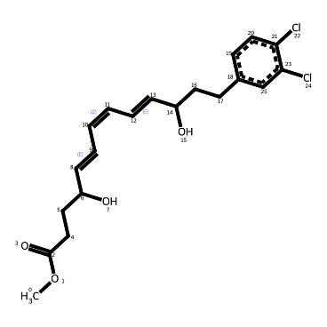 COC(=O)CCC(O)/C=C/C=C\C=C\C(O)CCc1ccc(Cl)c(Cl)c1